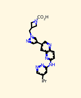 CC(C)c1cnnc(Nc2ccc3ncc(-c4cnn(CC5CN(C(=O)O)C5)c4)cc3n2)c1